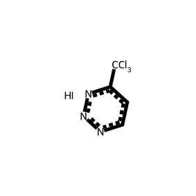 ClC(Cl)(Cl)c1ccnnn1.I